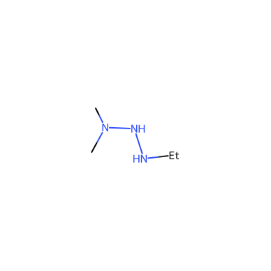 CCNNN(C)C